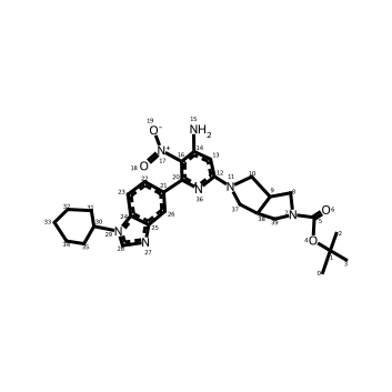 CC(C)(C)OC(=O)N1CC2CN(c3cc(N)c([N+](=O)[O-])c(-c4ccc5c(c4)ncn5C4CCCCC4)n3)CC2C1